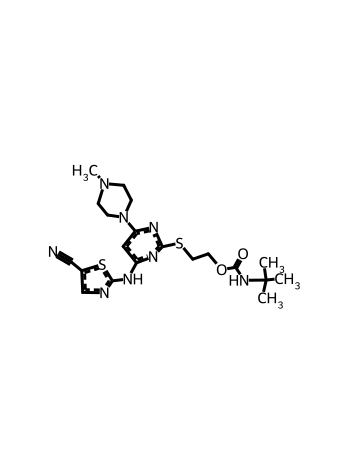 CN1CCN(c2cc(Nc3ncc(C#N)s3)nc(SCCOC(=O)NC(C)(C)C)n2)CC1